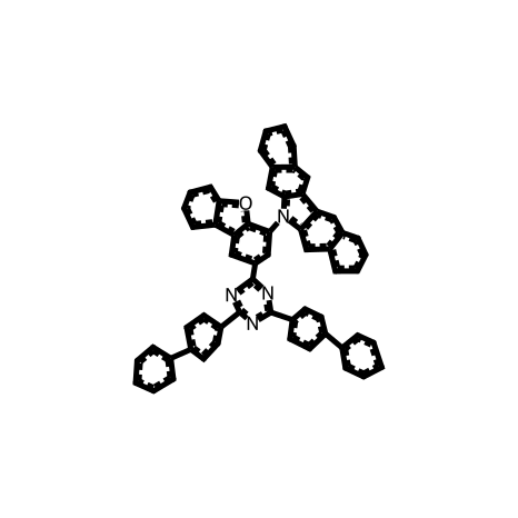 c1ccc(-c2ccc(-c3nc(-c4ccc(-c5ccccc5)cc4)nc(-c4cc(-n5c6cc7ccccc7cc6c6cc7ccccc7cc65)c5oc6ccccc6c5c4)n3)cc2)cc1